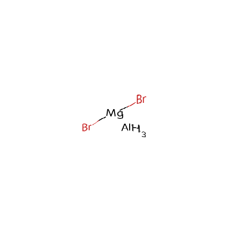 [AlH3].[Br][Mg][Br]